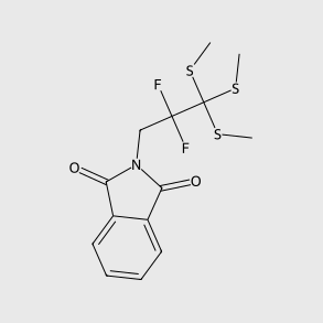 CSC(SC)(SC)C(F)(F)CN1C(=O)c2ccccc2C1=O